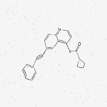 O=C(Sc1ccnc2ccc(C#Cc3ccccc3)cc12)C1CCC1